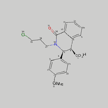 COc1ccc([C@@H]2[C@H](C(=O)O)c3ccccc3C(=O)N2CCCCl)cc1